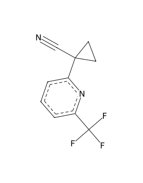 N#CC1(c2cccc(C(F)(F)F)n2)CC1